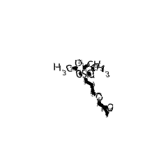 CC[Si](CCCOCC1CO1)(OC)OC(C)=O